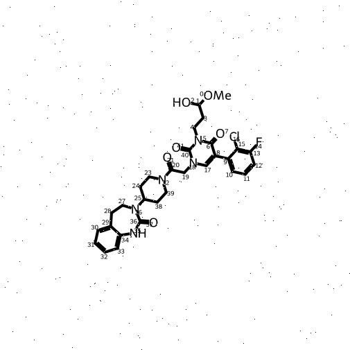 COC(O)CCn1c(=O)c(-c2cccc(F)c2Cl)cn(CC(=O)N2CCC(N3CCc4ccccc4NC3=O)CC2)c1=O